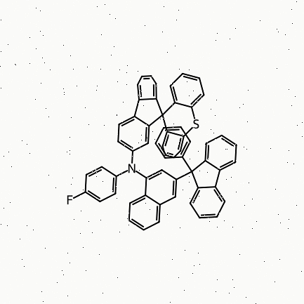 Fc1ccc(N(c2ccc3c(c2)C2(c4ccccc4Sc4ccccc42)c2ccccc2-3)c2cc(C3(c4ccccc4)c4ccccc4-c4ccccc43)cc3ccccc23)cc1